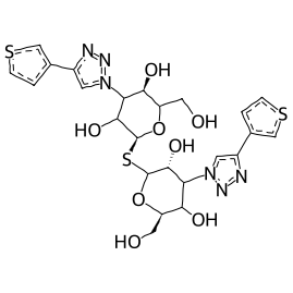 OCC1O[C@@H](SC2O[C@H](CO)C(O)C(n3cc(-c4ccsc4)nn3)[C@H]2O)C(O)C(n2cc(-c3ccsc3)nn2)[C@H]1O